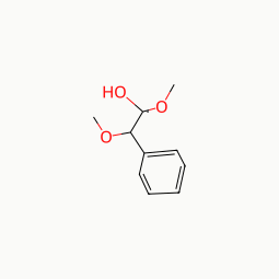 CO[C](O)C(OC)c1ccccc1